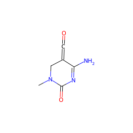 CN1CC(=C=O)C(N)=NC1=O